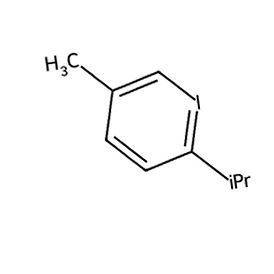 CC1=CI=C(C(C)C)C=C1